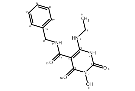 CCNc1[nH]c(=O)n(O)c(=O)c1C(=O)NCc1ccccc1